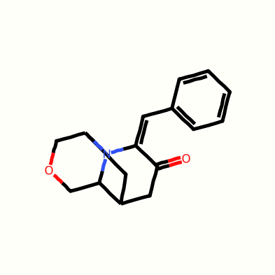 O=C1CC2CC3COCC2N3C1=Cc1ccccc1